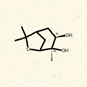 CC1(C)OC2CC1C[C@@H](O)[C@@]2(C)O